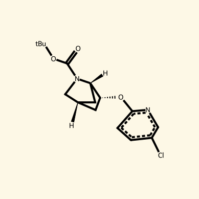 CC(C)(C)OC(=O)N1C[C@H]2C[C@@H](Oc3ccc(Cl)cn3)[C@@H]1C2